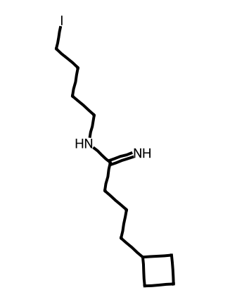 N=C(CCCC1CCC1)NCCCCI